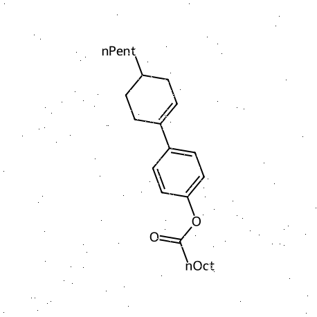 CCCCCCCCC(=O)Oc1ccc(C2=CCC(CCCCC)CC2)cc1